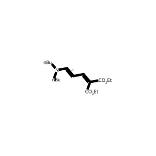 CCCCN(/C=C/C=C(C(=O)OCC)C(=O)OCC)CCCC